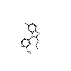 CCOc1nc2ccc(I)cc2n1-c1ccnc(N)n1